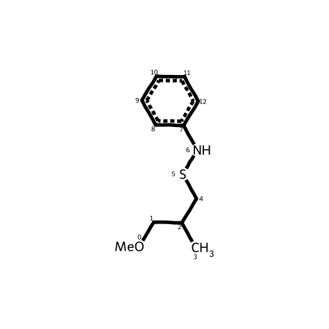 COCC(C)CSNc1ccccc1